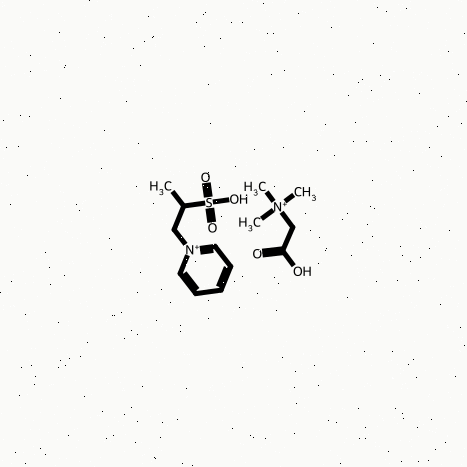 CC(C[n+]1ccccc1)S(=O)(=O)O.C[N+](C)(C)CC(=O)O